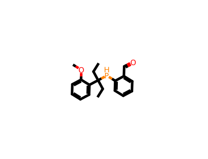 CCC(CC)(Pc1ccccc1C=O)c1ccccc1OC